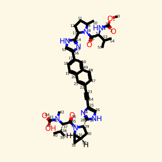 COC(=O)N[C@H](C(=O)N1C(C)CCC1c1nc(-c2ccc3cc(C#Cc4c[nH]c([C@@H]5C[C@H]6C[C@H]6N5C(=O)[C@H](C(C)C)N(C)C(=O)O)n4)ccc3c2)c[nH]1)C(C)C